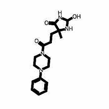 CC1(CCC(=O)N2CCN(c3ccccc3)CC2)NC(O)NC1=O